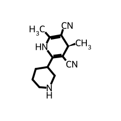 CC1=C(C#N)[C@@H](C)C(C#N)=C(C2CCCNC2)N1